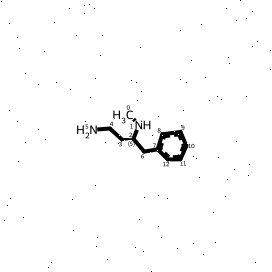 CN[C@H](CCN)Cc1ccccc1